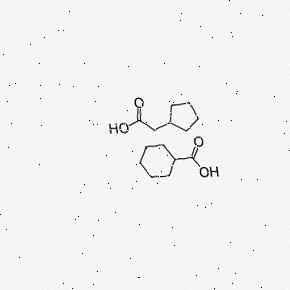 O=C(O)C1CCCCC1.O=C(O)CC1CCCC1